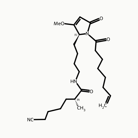 C=CCCCCCC(=O)N1C(=O)C=C(OC)[C@@H]1CCCCNC(=O)[C@H](C)CCCCC#N